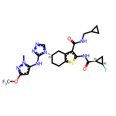 Cn1nc(OC(F)(F)F)cc1Nc1nncn1[C@H]1CCc2sc(NC(=O)[C@H]3C[C@H]3F)c(C(=O)NCC3CC3)c2C1